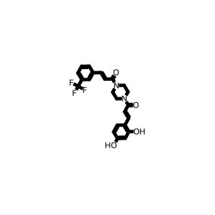 O=C(/C=C/c1cccc(C(F)(F)F)c1)N1CCN(C(=O)/C=C/c2ccc(O)cc2O)CC1